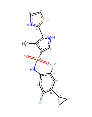 Cc1c(S(=O)(=O)Nc2cc(F)c(C3CC3)cc2F)c[nH]c1-c1nccs1